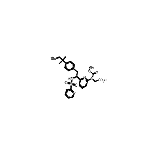 CC(C)(C)CC(C)(C)c1ccc(CC(NS(=O)(=O)c2ccccn2)c2cccc(N(CC(=O)O)C(=O)OC(C)(C)C)n2)cc1